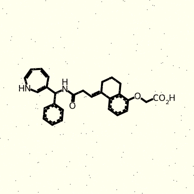 O=C(O)COc1cccc2c1CCCC2=CCC(=O)NC(C1=CNC=CC=C1)c1ccccc1